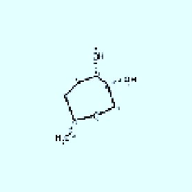 C[C@H]1CC[C@@H](O)[C@@H](O)CC1